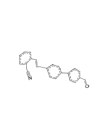 N#Cc1ccccc1C=Cc1ccc(-c2ccc(C=O)cc2)cc1